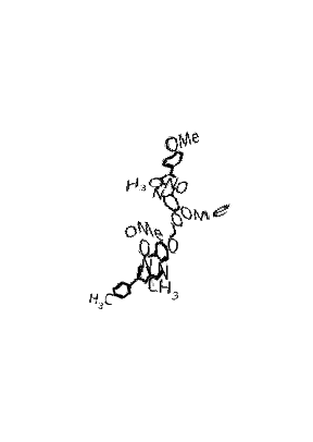 COc1ccc(C2=CN3C(=O)C4CC(OC)C(OCCCOc5cc6c(cc5OC)C(=O)N5C=C(c7ccc(C)cc7)C[C@]5(C)C=N6)CC4N=C[C@@]3(C)C2)cc1